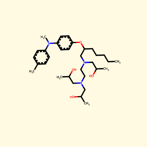 CCCCCC(CN(CCN(CC(C)O)CC(C)O)CC(C)O)Oc1ccc(N(C)c2ccc(C)cc2)cc1